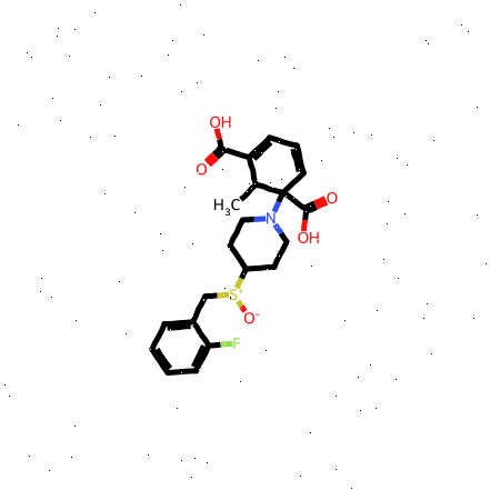 CC1C(C(=O)O)=CC=CC1(C(=O)O)N1CCC([S+]([O-])Cc2ccccc2F)CC1